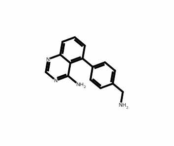 NCc1ccc(-c2cccc3ncnc(N)c23)cc1